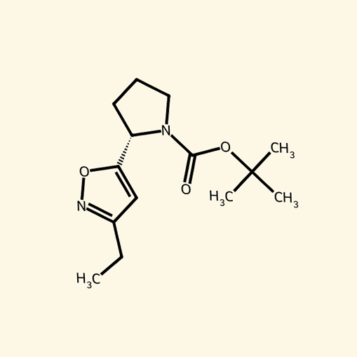 CCc1cc([C@@H]2CCCN2C(=O)OC(C)(C)C)on1